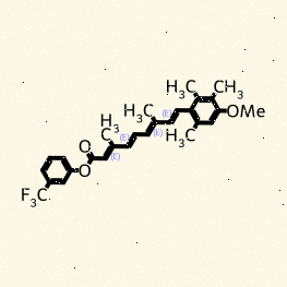 COc1cc(C)c(/C=C/C(C)=C/C=C/C(C)=C/C(=O)Oc2cccc(C(F)(F)F)c2)c(C)c1C